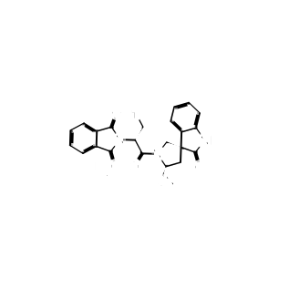 C=C1c2ccccc2C(=O)N1[C@@H](CC(C)C)C(=O)N1C[C@]2(C[C@H]1C#N)C(=O)Nc1ccccc12